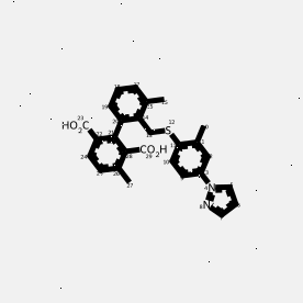 Cc1cc(-n2cccn2)ccc1SCc1c(C)cccc1-c1c(C(=O)O)ccc(C)c1C(=O)O